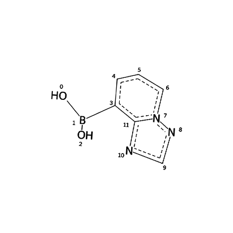 OB(O)c1cccn2ncnc12